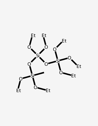 CCO[Si](C)(OCC)O[Si](OCC)(OCC)O[Si](OCC)(OCC)OCC